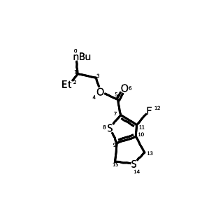 CCCCC(CC)COC(=O)c1sc2c(c1F)CSC2